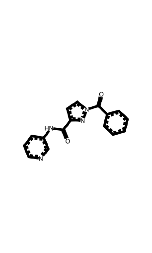 O=C(Nc1cccnc1)c1ccn(C(=O)c2ccccc2)n1